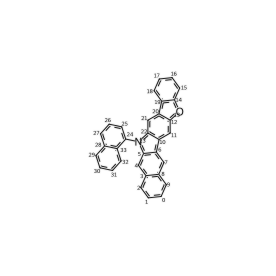 c1ccc2cc3c(cc2c1)c1cc2oc4ccccc4c2cc1n3-c1cccc2ccccc12